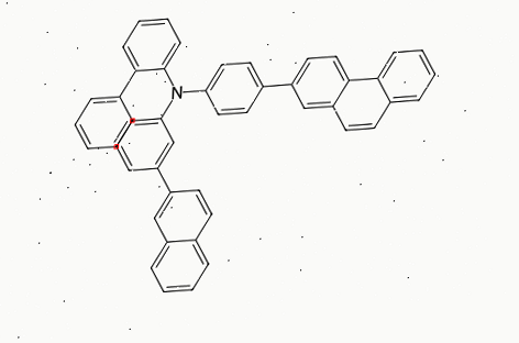 c1ccc(-c2ccccc2N(c2ccc(-c3ccc4c(ccc5ccccc54)c3)cc2)c2cccc(-c3ccc4ccccc4c3)c2)cc1